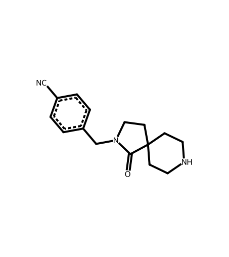 N#Cc1ccc(CN2CCC3(CCNCC3)C2=O)cc1